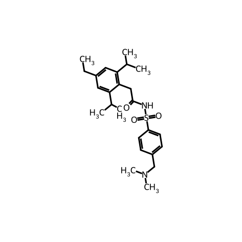 CCc1cc(C(C)C)c(CC(=O)NS(=O)(=O)c2ccc(CN(C)C)cc2)c(C(C)C)c1